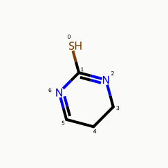 SC1=NCCC=N1